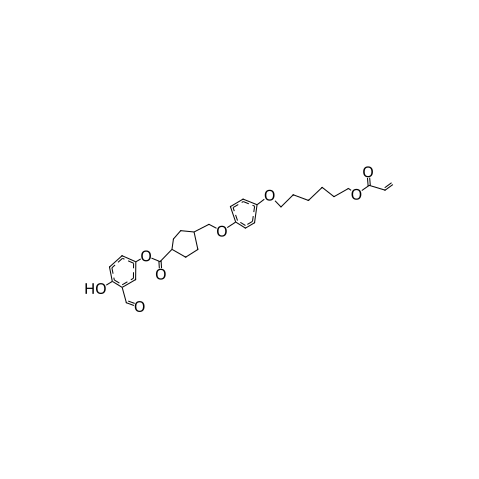 C=CC(=O)OCCCCCCOc1ccc(OCC2CCC(C(=O)Oc3ccc(O)c(C=O)c3)CC2)cc1